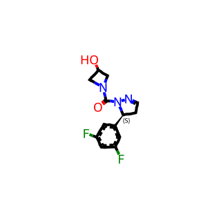 O=C(N1CC(O)C1)N1N=CC[C@H]1c1cc(F)cc(F)c1